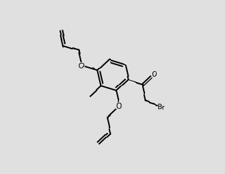 C=CCOc1ccc(C(=O)CBr)c(OCC=C)c1C